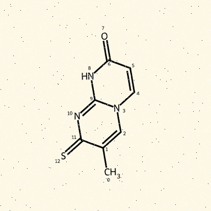 Cc1cn2ccc(=O)[nH]c2nc1=S